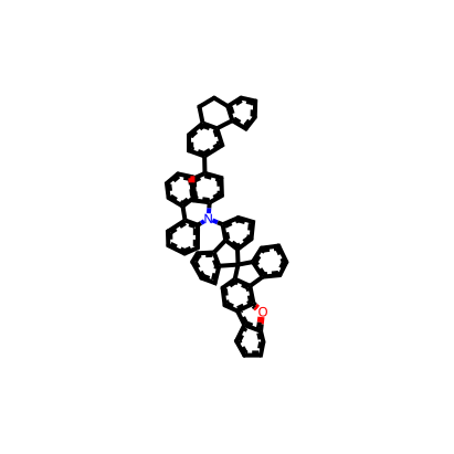 c1ccc(-c2ccccc2N(c2ccc(-c3ccc4c(c3)-c3ccccc3CC4)cc2)c2cccc3c2-c2ccccc2C32c3ccccc3-c3c2ccc2c3oc3ccccc32)cc1